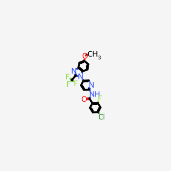 COc1ccc2c(c1)nc(C(F)(F)F)n2-c1ccc(NC(=O)c2ccc(Cl)cc2F)nc1